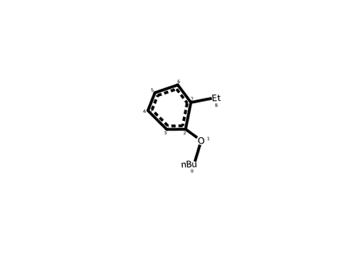 CCCCOc1ccccc1CC